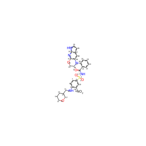 O=C(NS(=O)(=O)c1ccc(NCC2CCCOC2)c([N+](=O)[O-])c1)c1ccccc1N1CCOc2nc3[nH]ccc3cc21